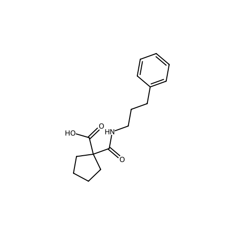 O=C(O)C1(C(=O)NCCCc2ccccc2)CCCC1